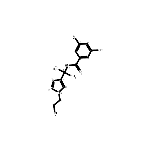 CC(C)(NC(=O)c1cc(Cl)cc(Cl)c1)c1cn(CCO)nn1